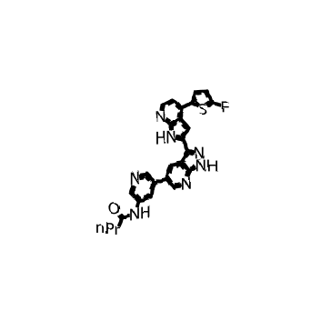 CCCC(=O)Nc1cncc(-c2cnc3[nH]nc(-c4cc5c(-c6ccc(F)s6)ccnc5[nH]4)c3c2)c1